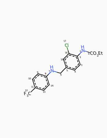 CCOC(=O)Nc1ccc(CNc2ccc(C(F)(F)F)cc2)cc1Cl